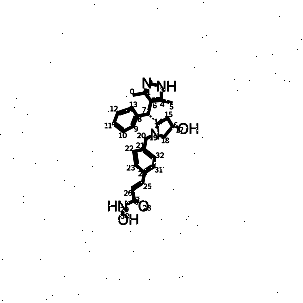 Cc1n[nH]c(C)c1C(c1ccccc1)[C@@H]1C[C@H](O)CN1Cc1ccc(C=CC(=O)NO)cc1